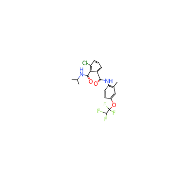 Cc1cc(OC(F)(F)C(F)F)ccc1NC(=O)c1cccc(Cl)c1C(=O)NC(C)C